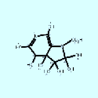 O=C(O)N1C2=C(O)N=C(O)C(O)C2(O)C(O)(O)C1(O)O